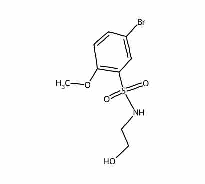 COc1ccc(Br)cc1S(=O)(=O)NCCO